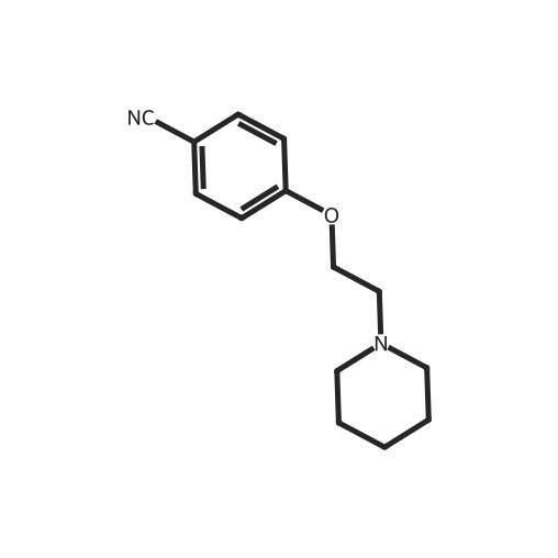 N#Cc1ccc(OCCN2CCCCC2)cc1